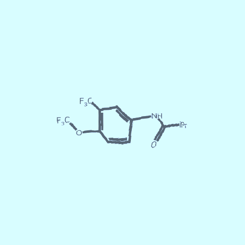 CC(C)C(=O)Nc1ccc(OC(F)(F)F)c(C(F)(F)F)c1